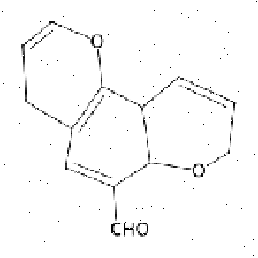 O=CC1=CC2=C(OC=CC2)C2C=CCOC12